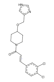 O=C(/C=C/c1ccc(Cl)c(Cl)c1)N1CCC(OCc2c[nH]cn2)CC1